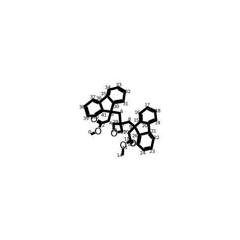 COC(=O)CC1(CC2(CC3(CC(=O)OC)c4ccccc4-c4ccccc43)COC2)c2ccccc2-c2ccccc21